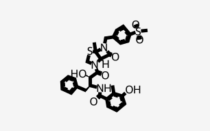 Cc1c(O)cccc1C(=O)N[C@@H](Cc1ccccc1)[C@H](O)C(=O)N1CSC2(C)[C@H]1C(=O)N2Cc1ccc(S(C)(=O)=O)cc1